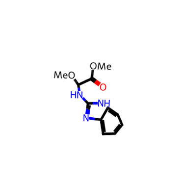 COC(=O)C(Nc1nc2ccccc2[nH]1)OC